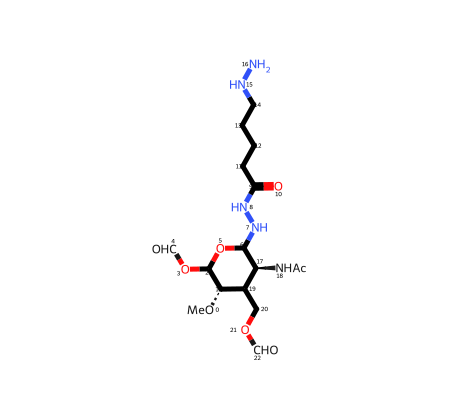 CO[C@@H]1C(OC=O)OC(NNC(=O)CCCCNN)[C@@H](NC(C)=O)C1COC=O